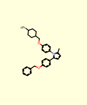 CCCC1CCC(COc2ccc(-n3c(C)ccc3-c3ccc(OCc4ccccc4)cc3)cc2)CC1